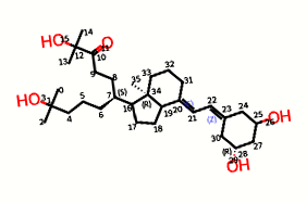 CC(C)(O)CCC[C@@H](CCC(=O)C(C)(C)O)C1CCC2/C(=C/C=C3/CC(O)C[C@H](O)C3)CCC[C@@]21C